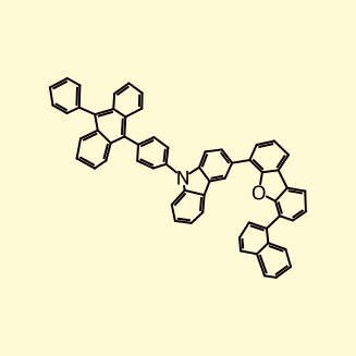 c1ccc(-c2c3ccccc3c(-c3ccc(-n4c5ccccc5c5cc(-c6cccc7c6oc6c(-c8cccc9ccccc89)cccc67)ccc54)cc3)c3ccccc23)cc1